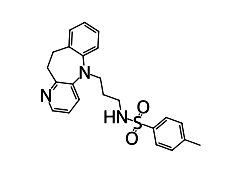 Cc1ccc(S(=O)(=O)NCCCN2c3ccccc3CCc3ncccc32)cc1